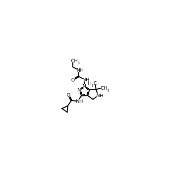 CCNC(=O)Nn1nc(NC(=O)C2CC2)c2c1C(C)(C)NC2